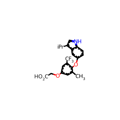 Cc1cc(OCC(=O)O)cc(C(F)(F)F)c1Oc1ccc2[nH]cc(C(C)C)c2c1